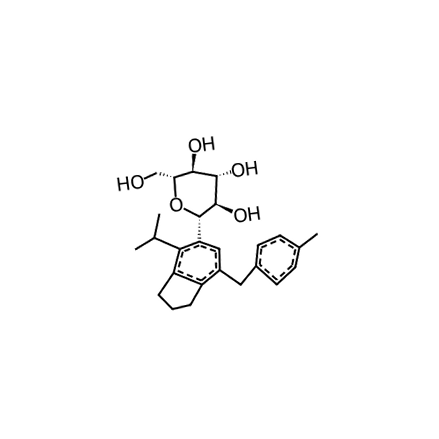 Cc1ccc(Cc2cc([C@@H]3O[C@H](CO)[C@@H](O)[C@H](O)[C@H]3O)c(C(C)C)c3c2CCC3)cc1